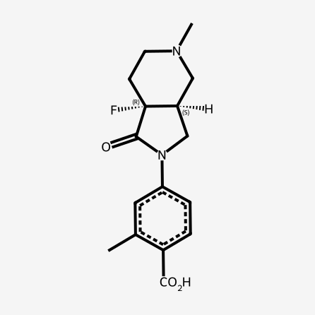 Cc1cc(N2C[C@@H]3CN(C)CC[C@]3(F)C2=O)ccc1C(=O)O